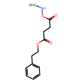 O=CNOC(=O)CCC(=O)OCCc1ccccc1